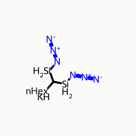 CCCCCCC([SiH2]N=[N+]=[N-])[SiH2]N=[N+]=[N-].[KH]